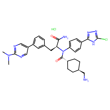 CN(C)c1ncc(-c2cccc(C[C@@H](C(N)=O)N(c3ccc(-c4nnc(Cl)[nH]4)cc3)C(=O)[C@H]3CC[C@H](CN)CC3)c2)cn1.Cl